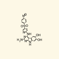 Nc1nc(Nc2ncc(S(=O)(=O)c3ccc(N=O)cc3)s2)c2c(n1)[nH]c1cc(O)c(O)cc12